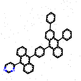 c1ccc(-c2ccc3c(-c4ccc(-c5c6ccccc6c(-c6ccncn6)c6ccccc56)cc4)c4ccccc4c(-c4ccccc4)c3c2)cc1